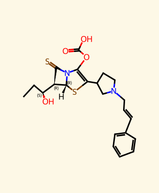 CC[C@H](O)[C@H]1C(=S)N2C(OC(=O)O)=C(C3CCN(CC=Cc4ccccc4)C3)S[C@H]12